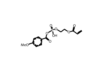 C=CC(=O)OCCOP(=O)(O)OC(=O)c1ccc(OC)cc1